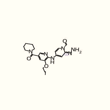 N/N=c1/cc(Nc2ncc(C(=O)N3CCCCC3)cc2OCI)ccn1C=O